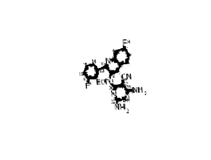 CCN(c1cc2ccc(F)cc2nc1-c1cccc(F)c1)c1nc(N)nc(N)c1C#N